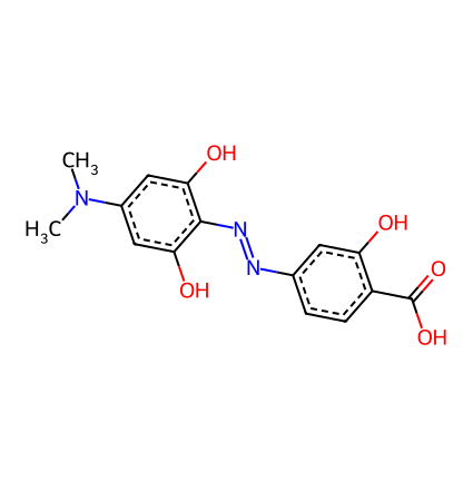 CN(C)c1cc(O)c(/N=N/c2ccc(C(=O)O)c(O)c2)c(O)c1